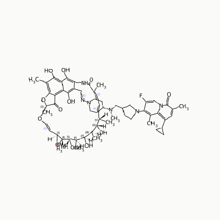 CO[C@H]1/C=C/O[C@@]2(C)Oc3c(C)c(O)c4c(O)c(c(/C=N/N5CCC(N(C)CC6CCN(c7c(F)cn8c(=O)c(C)cc(C9CC9)c8c7C)C6)CC5)c(O)c4c3C2=O)NC(=O)/C(C)=C\C=C\[C@H](C)[C@H](O)[C@@H](C)[C@@H](O)[C@@H](C)[C@H](OC(C)=O)[C@@H]1C